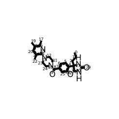 CCCC1(c2ccc(C(=O)N3CCN(c4nc(C)c(C)cc4C)CC3)cc2)NC(=O)NC1=O